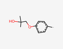 [CH2]c1ccc(OCC(C)(C)O)cc1